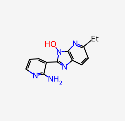 CCc1ccc2nc(-c3cccnc3N)n(O)c2n1